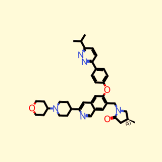 CC(C)c1ccc(-c2ccc(Oc3cc4cc(C5CCN(C6CCOCC6)CC5)ncc4cc3CN3C[C@@H](C)CC3=O)cc2)nn1